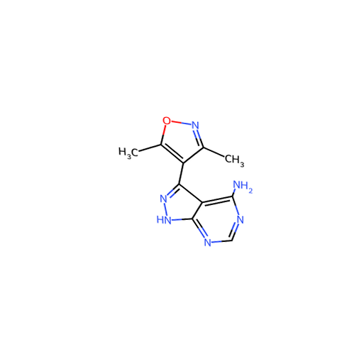 Cc1noc(C)c1-c1n[nH]c2ncnc(N)c12